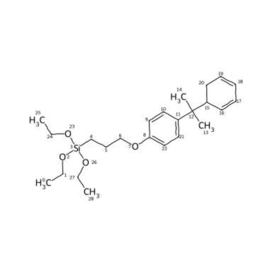 CCO[Si](CCCOc1ccc(C(C)(C)C2C=CC=CC2)cc1)(OCC)OCC